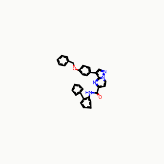 O=C(Nc1ccccc1-c1ccccc1)c1ccn2ncc(-c3ccc(OCc4ccccc4)cc3)c2n1